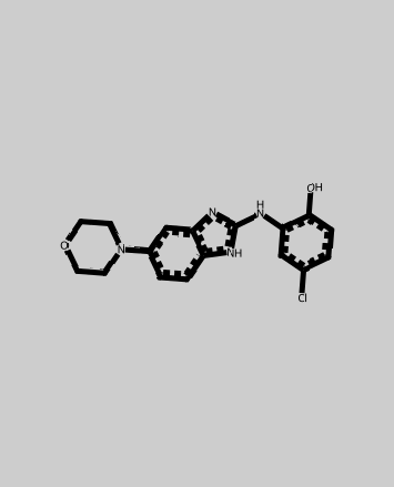 Oc1ccc(Cl)cc1Nc1nc2cc(N3CCOCC3)ccc2[nH]1